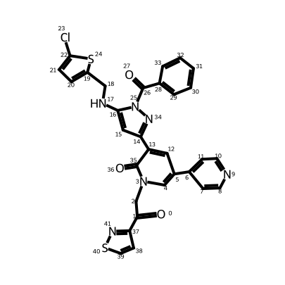 O=C(Cn1cc(-c2ccncc2)cc(-c2cc(NCc3ccc(Cl)s3)n(C(=O)c3ccccc3)n2)c1=O)c1ccsn1